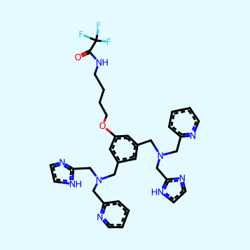 O=C(NCCCCOc1cc(CN(Cc2ccccn2)Cc2ncc[nH]2)cc(CN(Cc2ccccn2)Cc2ncc[nH]2)c1)C(F)(F)F